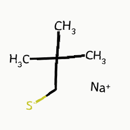 CC(C)(C)C[S-].[Na+]